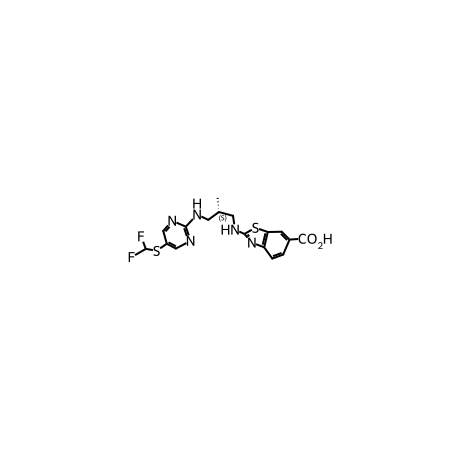 C[C@@H](CNc1ncc(SC(F)F)cn1)CNc1nc2ccc(C(=O)O)cc2s1